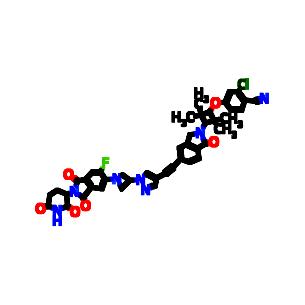 CC1(C)C(Oc2ccc(C#N)c(Cl)c2)C(C)(C)C1N1Cc2cc(C#Cc3cnn(C4CN(c5cc6c(cc5F)C(=O)N(C5CCC(=O)NC5=O)C6=O)C4)c3)ccc2C1=O